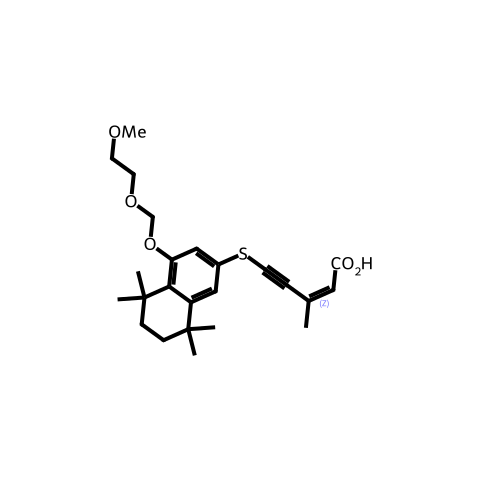 COCCOCOc1cc(SC#C/C(C)=C\C(=O)O)cc2c1C(C)(C)CCC2(C)C